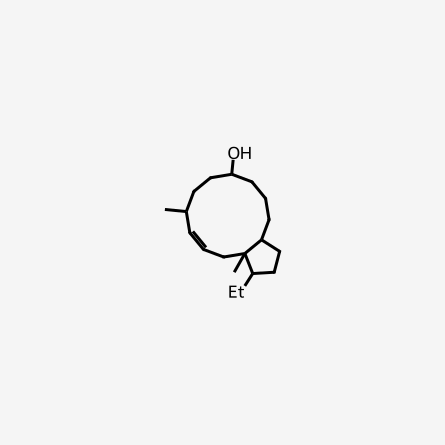 CCC1CCC2CCCC(O)CCC(C)/C=C\CC12C